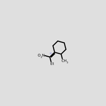 CC/C(=C1/CCCCC1C)[N+](=O)[O-]